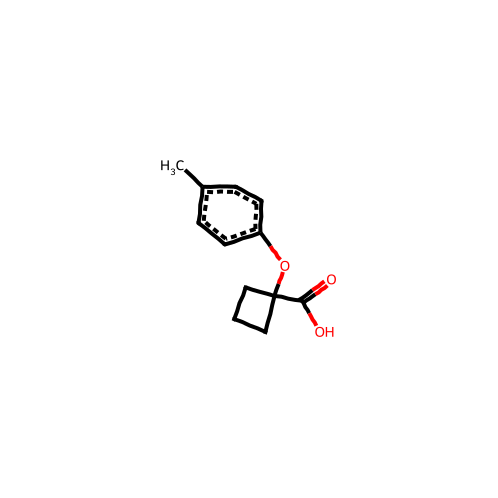 Cc1ccc(OC2(C(=O)O)CCC2)cc1